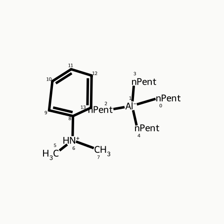 CCCC[CH2][Al-]([CH2]CCCC)([CH2]CCCC)[CH2]CCCC.C[NH+](C)c1ccccc1